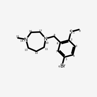 CSc1ccc(Br)cc1CN1CCCN(C)CC1